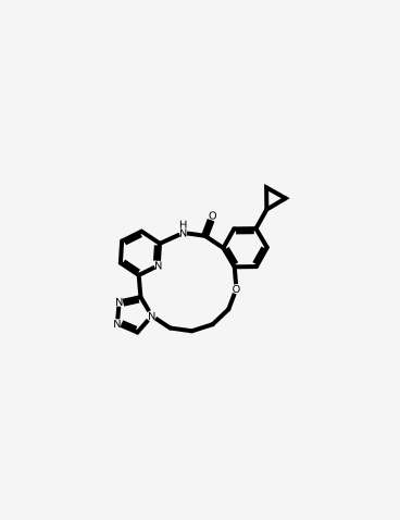 O=C1Nc2cccc(n2)-c2nncn2CCCCOc2ccc(C3CC3)cc21